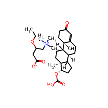 CCOC(CC(=O)[O-])C[N+](C)(C)C.C[C@]12CC[C@H]3[C@@H](CCC4=CC(=O)CC[C@@]43C)[C@@H]1CC[C@@H]2OC(=O)O